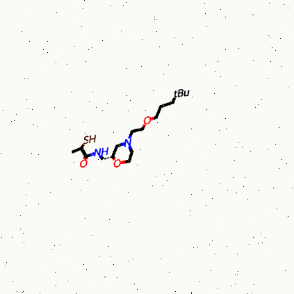 CC(S)C(=O)NC[C@@H]1CN(CCOCCCC(C)(C)C)CCO1